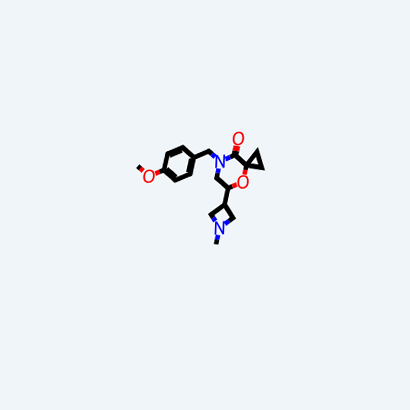 COc1ccc(CN2CC(C3CN(C)C3)OC3(CC3)C2=O)cc1